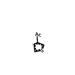 CC(=O)c1[c]csc1